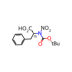 CC(C)(C)OC(=O)N([C@@H](Cc1ccccc1)C(=O)O)[N+](=O)[O-]